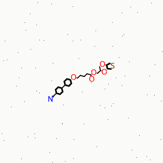 N#Cc1ccc(-c2ccc(OCCCCC(=O)OCC3COc4cscc4O3)cc2)cc1